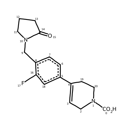 O=C(O)N1CC=C(c2ccc(CN3CCCC3=O)c(F)c2)CC1